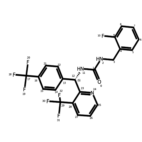 O=C(NCc1ccccc1F)N[C@@H](c1ccc(C(F)(F)F)cc1)c1ncccc1C(F)(F)F